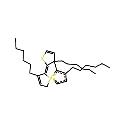 CCCCCCC1=CCSC1=C1SC=CC1(CCCCCC)c1sccc1CCCCCC